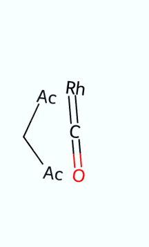 CC(=O)CC(C)=O.O=[C]=[Rh]